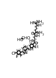 CCc1cc(Nc2nccn3c(-c4ccc(Cl)c(F)c4F)cnc23)ccc1C(=O)NCCNC(=O)[C@H](N)CCCNC(=N)N.O=CO